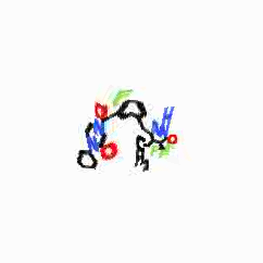 CCc1c(Cc2ccc(F)c(C(=O)N3CCN(C4CCCCC4)C(=O)C3)c2)n[nH]c(=O)c1C(F)(F)F